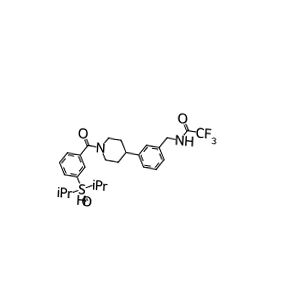 CC(C)[SH](=O)(c1cccc(C(=O)N2CCC(c3cccc(CNC(=O)C(F)(F)F)c3)CC2)c1)C(C)C